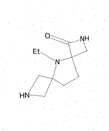 CCN1C2(CCC13CNC3=O)CNC2